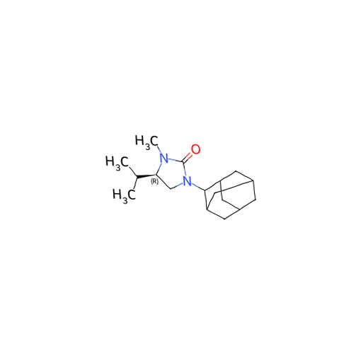 CC(C)[C@@H]1CN(C2C3CC4CC(C3)CC2C4)C(=O)N1C